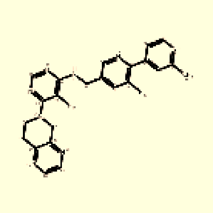 Cc1cc(-c2ncc(CNc3ncnc(N4CCc5nccnc5C4)c3F)cc2F)ccn1